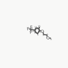 COCCOc1ccc(C(F)(F)F)cc1C